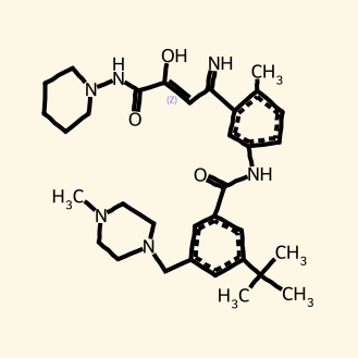 Cc1ccc(NC(=O)c2cc(CN3CCN(C)CC3)cc(C(C)(C)C)c2)cc1C(=N)/C=C(\O)C(=O)NN1CCCCC1